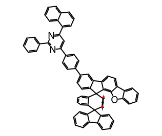 c1ccc(-c2nc(-c3ccc(-c4ccc5c(c4)-c4ccc6c(oc7ccccc76)c4C54c5ccccc5C5(c6ccccc6-c6ccccc65)c5ccccc54)cc3)cc(-c3cccc4ccccc34)n2)cc1